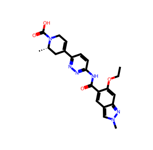 CCOc1cc2nn(C)cc2cc1C(=O)Nc1ccc(C2=CCN(C(=O)O)[C@@H](C)C2)nn1